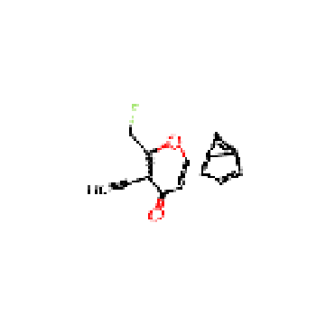 C#Cc1c(CF)occc1=O.c1cc2cc-2c1